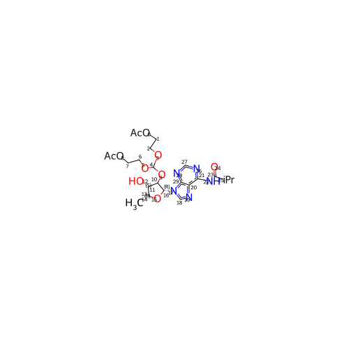 CC(=O)OCCOC(OCCOC(C)=O)OC1[C@@H](O)[C@@H](C)O[C@H]1n1cnc2c(NC(=O)C(C)C)ncnc21